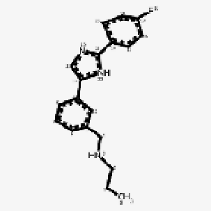 CCCNCc1cccc(-c2cnc(-c3ccc(F)cc3)[nH]2)c1